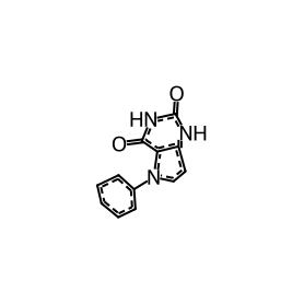 O=c1[nH]c(=O)c2c(ccn2-c2ccccc2)[nH]1